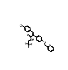 O=C(NCC(F)(F)F)C(=Cc1ccc(Cl)cc1)c1ccc(OCc2ccccn2)cc1